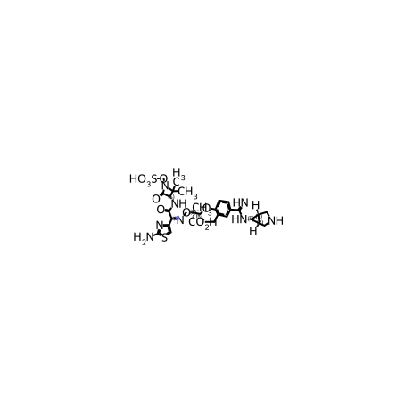 CC1(C)[C@H](NC(=O)/C(=N\O[C@](C)(C(=O)O)[C@H]2CCc3cc(C(=N)N[C@@H]4[C@@H]5CNC[C@@H]54)ccc3O2)c2csc(N)n2)C(=O)N1OS(=O)(=O)O